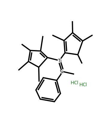 CC1=C(C)C(C)[C]([Ti]([C]2=C(C)C(C)=C(C)C2C)=[Si](C)c2ccccc2)=C1C.Cl.Cl